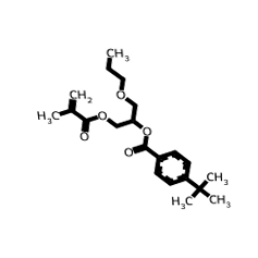 C=C(C)C(=O)OCC(COCCC)OC(=O)c1ccc(C(C)(C)C)cc1